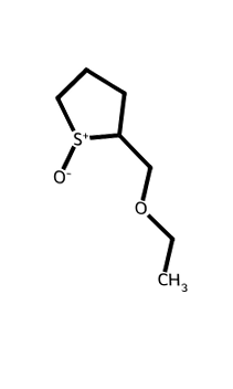 CCOCC1CCC[S+]1[O-]